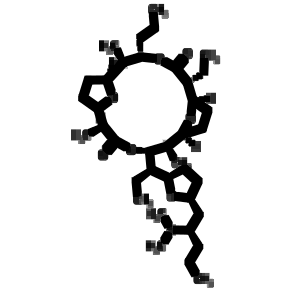 CCC[C@H](C[C@@H]1CC[C@H]([C@@H](CC)[C@@H]2OC(=O)[C@@H](C)[C@H]3CC[C@H](O3)[C@@H](C)[C@H](CCC)OC(=O)[C@H](CC)[C@H]3CC[C@H](O3)[C@H]2C)O1)N(C)C